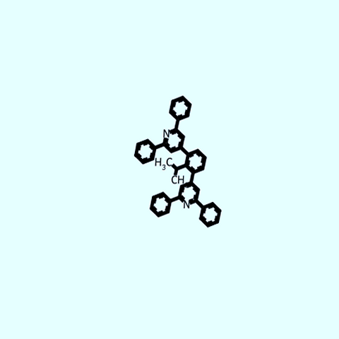 CC(C)c1c(-c2cc(-c3ccccc3)nc(-c3ccccc3)c2)cccc1-c1cc(-c2ccccc2)nc(-c2ccccc2)c1